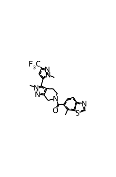 Cc1c(C(=O)N2CCc3c(nn(C)c3-c3cc(C(F)(F)F)nn3C)C2)ccc2ncsc12